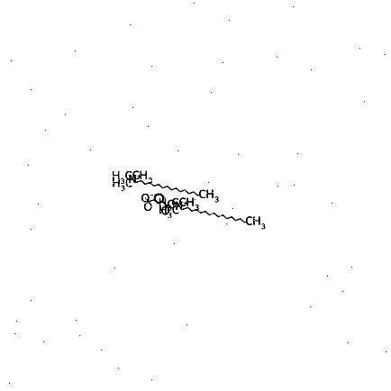 CCCCCCCCCCCCCCCC[N+](C)(C)C.CCCCCCCCCCCCCCCC[N+](C)(C)C.O=C([O-])c1cccc(C(=O)[O-])c1